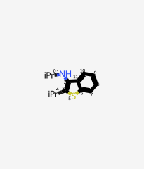 CC(C)Nc1c(C(C)C)sc2ccccc12